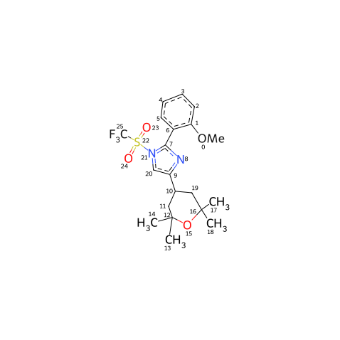 COc1ccccc1-c1nc(C2CC(C)(C)OC(C)(C)C2)cn1S(=O)(=O)C(F)(F)F